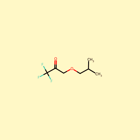 CC(C)COCC(=O)C(F)(F)F